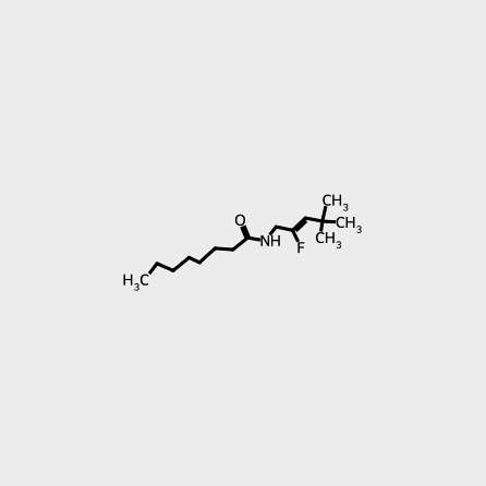 CCCCCCCC(=O)NC/C(F)=C/C(C)(C)C